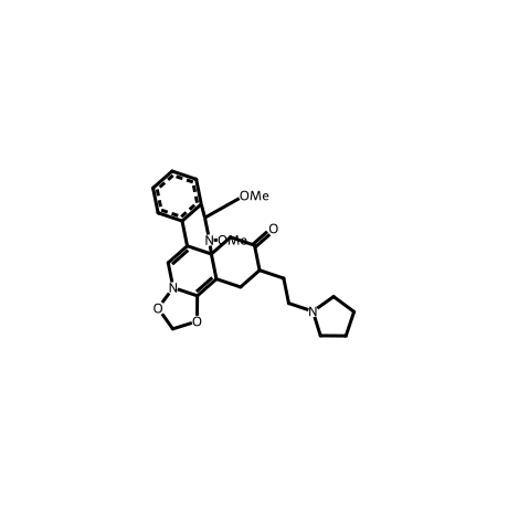 COC1c2ccccc2C2=CN3OCOC3=C3CC(CCN4CCCC4)C(=O)CC23N1OC